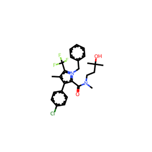 Cc1c(-c2ccc(Cl)cc2)c(C(=O)N(C)CCC(C)(C)O)n(Cc2ccccc2)c1C(F)(F)F